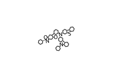 c1ccc(-c2nc3cc4oc5c(N(c6ccc7c(c6)sc6ccccc67)c6ccc7c(c6)c6ccccc6n7-c6ccccc6)cccc5c4cc3o2)cc1